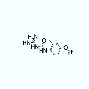 CCOc1ccc(NC(=O)NC(=N)N)c(C)c1